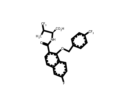 CC([C@H](NC(=O)c1ccc2cc(F)ccc2c1OCc1ccc(C(F)(F)F)cc1)C(=O)O)C(F)(F)F